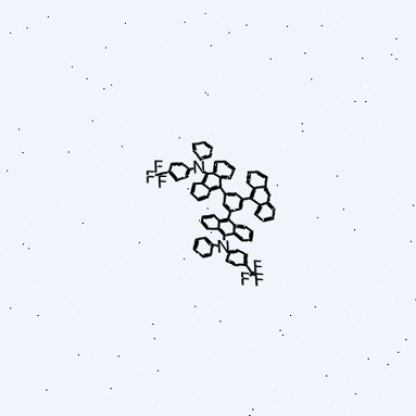 FC(F)(F)c1ccc(N(c2ccccc2)c2c3ccccc3c(-c3cc(-c4c5ccccc5cc5ccccc45)cc(-c4c5ccccc5c(N(c5ccccc5)c5ccc(C(F)(F)F)cc5)c5ccccc45)c3)c3ccccc23)cc1